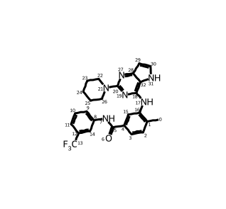 Cc1ccc(C(=O)Nc2cccc(C(F)(F)F)c2)cc1Nc1nc(N2CCCCC2)nc2cc[nH]c12